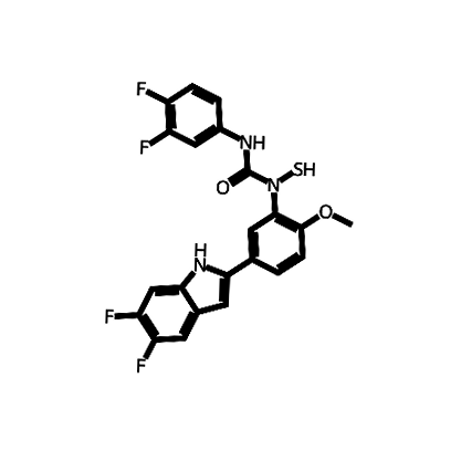 COc1ccc(-c2cc3cc(F)c(F)cc3[nH]2)cc1N(S)C(=O)Nc1ccc(F)c(F)c1